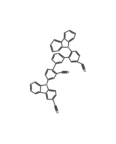 N#Cc1ccc(-n2c3ccccc3c3ccccc32)c(-c2cccc(-c3ccc(-n4c5ccccc5c5cc(C#N)ccc54)cc3C#N)c2)c1